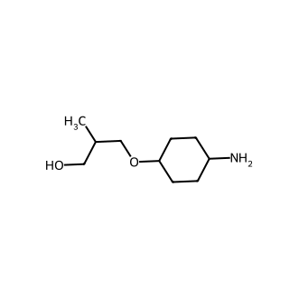 CC(CO)COC1CCC(N)CC1